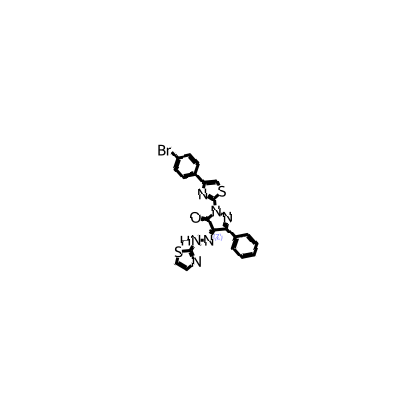 O=C1/C(=N\Nc2nccs2)C(c2ccccc2)=NN1c1nc(-c2ccc(Br)cc2)cs1